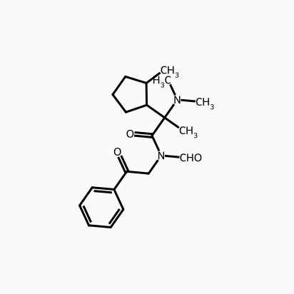 CC1CCCC1C(C)(C(=O)N(C=O)CC(=O)c1ccccc1)N(C)C